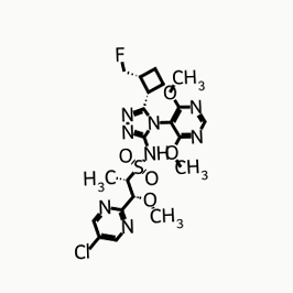 COc1ncnc(OC)c1-n1c(NS(=O)(=O)[C@@H](C)[C@H](OC)c2ncc(Cl)cn2)nnc1[C@H]1CC[C@H]1CF